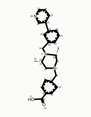 C[C@@H]1CN(Cc2ccc(C(=O)O)cc2)C[C@H](C)N1Cc1cccc(-c2cccnc2)c1